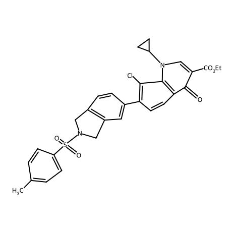 CCOC(=O)c1cn(C2CC2)c2c(Cl)c(-c3ccc4c(c3)CN(S(=O)(=O)c3ccc(C)cc3)C4)ccc2c1=O